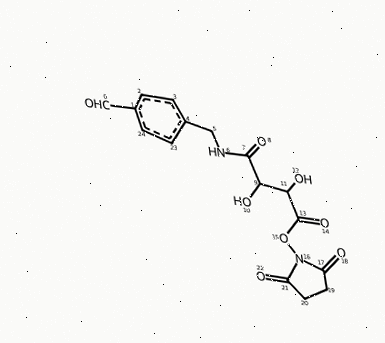 O=Cc1ccc(CNC(=O)C(O)C(O)C(=O)ON2C(=O)CCC2=O)cc1